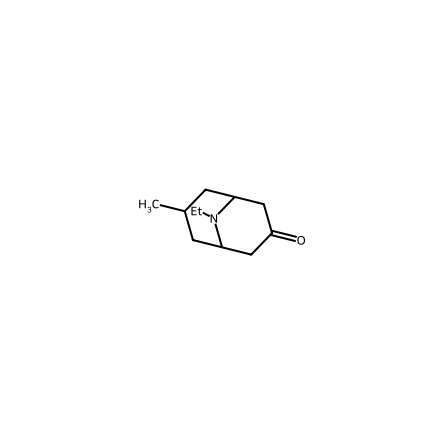 CCN1C2CC(=O)CC1CC(C)C2